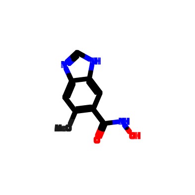 COc1cc2nc[nH]c2cc1C(=O)NO